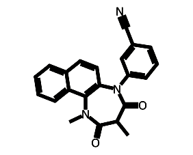 CC1C(=O)N(C)c2c(ccc3ccccc23)N(c2cccc(C#N)c2)C1=O